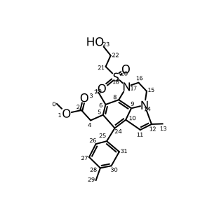 COC(=O)Cc1c(C)c2c3c(cc(C)n3CCN2S(=O)(=O)CCO)c1-c1ccc(C)cc1